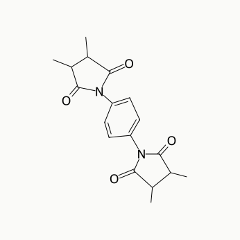 CC1C(=O)N(c2ccc(N3C(=O)C(C)C(C)C3=O)cc2)C(=O)C1C